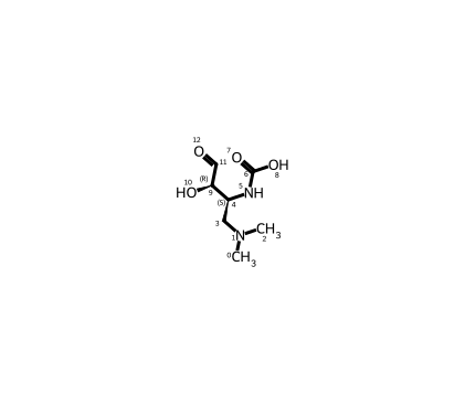 CN(C)C[C@H](NC(=O)O)[C@@H](O)C=O